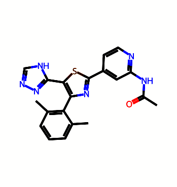 CC(=O)Nc1cc(-c2nc(-c3c(C)cccc3C)c(-c3nnc[nH]3)s2)ccn1